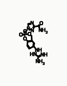 N=C(N)NNc1ccc2c(c1)COP(=O)(On1cnc(C(N)=O)n1)O2